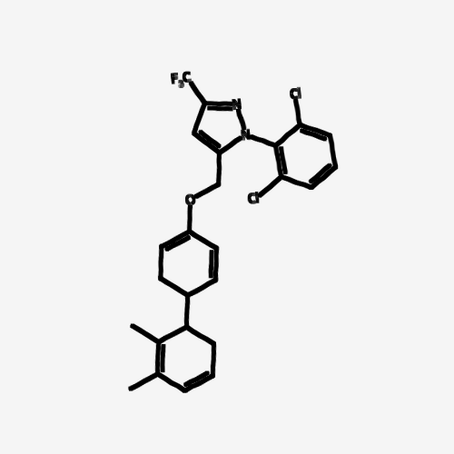 CC1=C(C)C(C2C=CC(OCc3cc(C(F)(F)F)nn3-c3c(Cl)cccc3Cl)=CC2)CC=C1